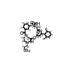 Cc1cccc(C)c1-c1cc2nc(n1)NS(=N)(=O)c1cccc(c1)C(=O)N1CCN(CCC(C)(C)C)C[C@H](C1)O2